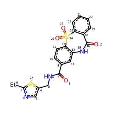 CCc1ncc(CNC(=O)c2ccc3c(c2)NC(=O)c2ccccc2S3(=O)=O)s1